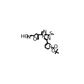 CSc1nc(C2=CCCN(C(=O)OC(C)(C)C)C2)cn2c(C3=COC(/C=N/O)C3)cnc12